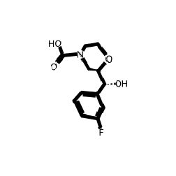 O=C(O)N1CCO[C@@H]([C@H](O)c2cccc(F)c2)C1